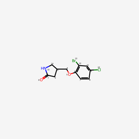 O=C1CC(COc2ccc(Cl)cc2Br)CN1